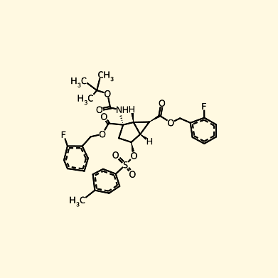 Cc1ccc(S(=O)(=O)O[C@H]2C[C@@](NC(=O)OC(C)(C)C)(C(=O)OCc3ccccc3F)[C@@H]3[C@@H](C(=O)OCc4ccccc4F)[C@@H]32)cc1